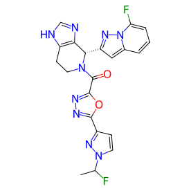 CC(F)n1ccc(-c2nnc(C(=O)N3CCc4[nH]cnc4[C@@H]3c3cc4cccc(F)n4n3)o2)n1